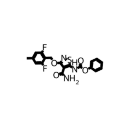 Cc1cc(F)c(COc2nsc(NC(=O)Oc3ccccc3)c2C(N)=O)c(F)c1